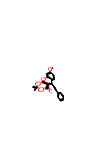 COc1ccc(C(C#Cc2ccccc2)C2C(=O)OC(C)(C)OC2=O)cc1